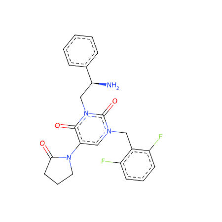 N[C@@H](Cn1c(=O)c(N2CCCC2=O)cn(Cc2c(F)cccc2F)c1=O)c1ccccc1